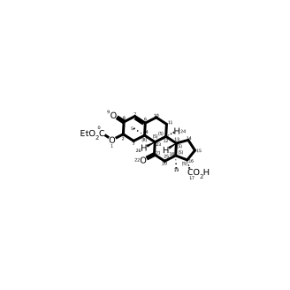 CCOC(=O)OC1C[C@@]2(C)C(=CC1=O)CC[C@H]1[C@@H]3CC[C@H](C(=O)O)[C@@]3(C)CC(=O)[C@@H]12